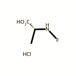 C[C@@H](NF)C(=O)O.Cl